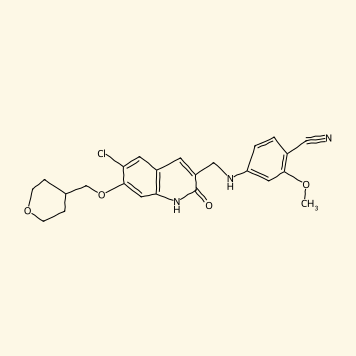 COc1cc(NCc2cc3cc(Cl)c(OCC4CCOCC4)cc3[nH]c2=O)ccc1C#N